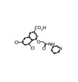 O=C(COc1cc(C(=O)O)cc2cc(Cl)cc(Cl)c12)Nc1cccnc1